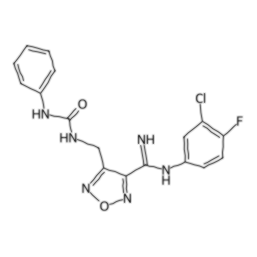 N=C(Nc1ccc(F)c(Cl)c1)c1nonc1CNC(=O)Nc1ccccc1